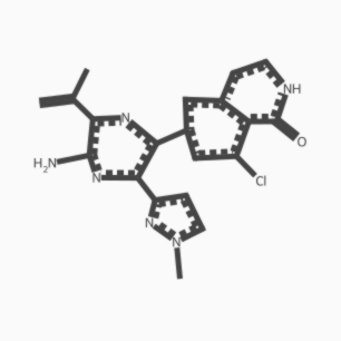 C=C(C)c1nc(-c2cc(Cl)c3c(=O)[nH]ccc3c2)c(-c2ccn(C)n2)nc1N